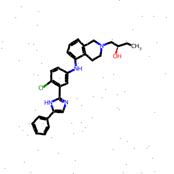 CC[C@@H](O)CN1CCc2c(cccc2Nc2ccc(Cl)c(-c3ncc(-c4ccccc4)[nH]3)c2)C1